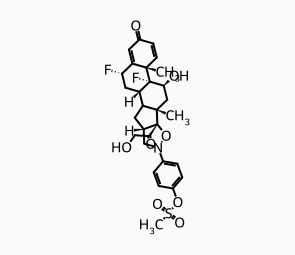 C[C@]12C=CC(=O)C=C1[C@@H](F)C[C@H]1C3C[C@H]4CN(c5ccc(OS(C)(=O)=O)cc5)O[C@@]4(C(=O)CO)[C@@]3(C)C[C@H](O)[C@@]12F